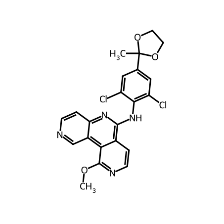 COc1nccc2c(Nc3c(Cl)cc(C4(C)OCCO4)cc3Cl)nc3ccncc3c12